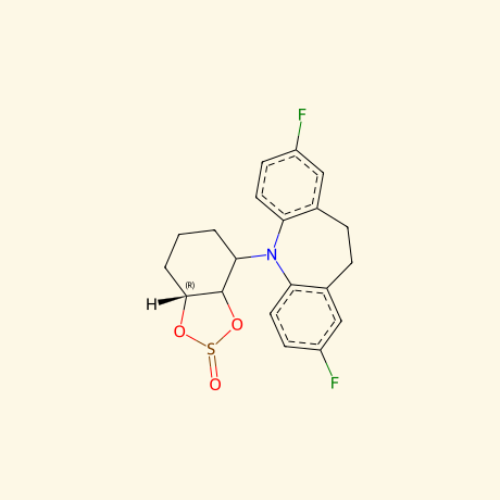 O=S1OC2C(N3c4ccc(F)cc4CCc4cc(F)ccc43)CCC[C@H]2O1